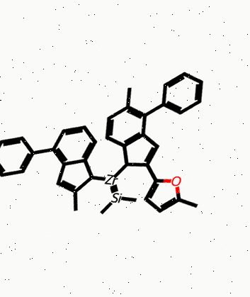 CC1=Cc2c(-c3ccccc3)cccc2[CH]1[Zr]([CH]1C(c2ccc(C)o2)=Cc2c1ccc(C)c2-c1ccccc1)=[Si](C)C